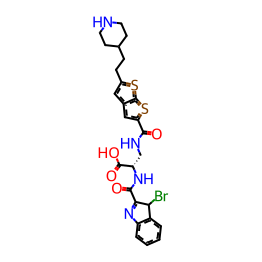 O=C(N[C@@H](CNC(=O)c1cc2cc(CCC3CCNCC3)sc2s1)C(=O)O)C1=Nc2ccccc2C1Br